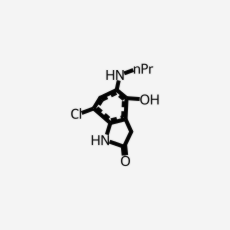 CCCNc1cc(Cl)c2c(c1O)CC(=O)N2